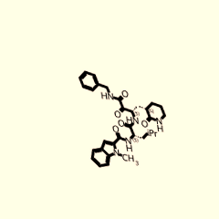 CC(C)C[C@H](NC(=O)c1cc2ccccc2n1C)C(=O)N[C@@H](C[C@@H]1CCCNC1=O)C(=O)C(=O)NCc1ccccc1